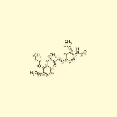 CCCOc1c(CN(C)C(=O)/C=C/c2cnc(NC=O)c(OCC)c2)cccc1OC